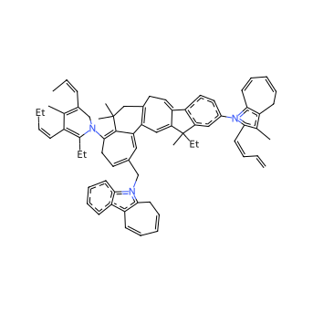 C=C/C=C\c1c(C)c2c(n1-c1ccc3c(c1)C(C)(CC)C1=CC4=C(CC=C13)CC(C)(C)C1=C(N3CC(/C=C\C)=C(C)C(/C=C\CC)=C3CC)CC=C(Cn3c5c(c6ccccc63)C=CC=CC5)C=C41)C=CC=CC2